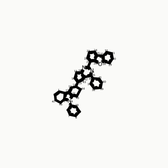 C1=Cc2c(n(-c3ccccc3)c3c2=CC(c2ccc4nc(-c5cccc6c5oc5ccccc56)nc(-c5ccccc5)c4c2)CC=3)CC1